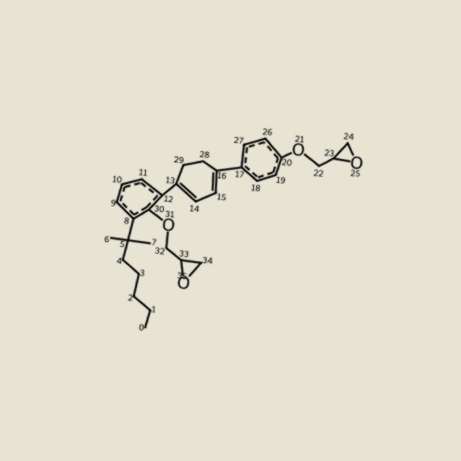 CCCCCC(C)(C)c1cccc(C2=CC=C(c3ccc(OCC4CO4)cc3)CC2)c1OCC1CO1